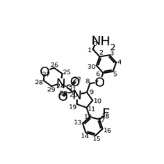 NCc1cccc(OCC2CC(c3ccccc3F)CN2S(=O)(=O)N2CCOCC2)c1